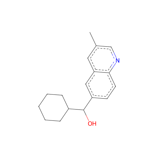 Cc1cnc2ccc(C(O)C3CCCCC3)cc2c1